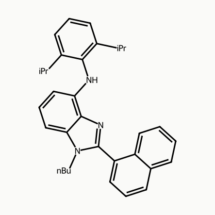 CCCCn1c(-c2cccc3ccccc23)nc2c(Nc3c(C(C)C)cccc3C(C)C)cccc21